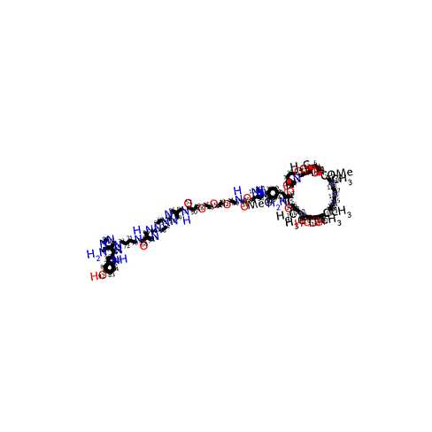 CO[C@H]1C[C@@H]2CC[C@@H](C)[C@@](O)(O2)C(=O)C(=O)N2CCCC[C@H]2C(=O)O[C@H]([C@H](N)C[C@@H]2CC[C@H](n3cc(COC(=O)NCCOCCOCCOCCC(=O)NCc4cnc(N5CCN(c6ncc(C(=O)NCCCCn7nc(-c8cc9cc(O)ccc9[nH]8)c8c(N)ncnc87)cn6)CC5)nc4)nn3)[C@H](OC)C2)CC(=O)[C@H](C)/C=C(\C)[C@@H](O)[C@@H](O)C(=O)[C@H](C)C[C@H](C)/C=C/C=C/C=C/1C